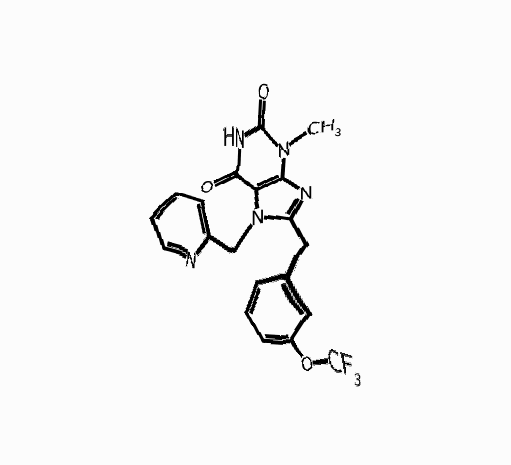 Cn1c(=O)[nH]c(=O)c2c1nc(Cc1cccc(OC(F)(F)F)c1)n2Cc1ccccn1